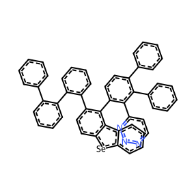 c1ccc(-c2ccccc2-c2ccccc2-c2ccc3[se]c4ccccc4c3c2-c2ccc(-c3ccccc3)c(-c3ccccc3)c2-c2ccnnn2)cc1